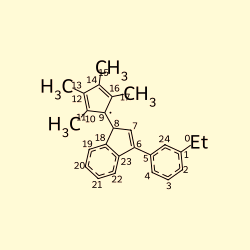 CCc1cccc(C2=CC([C]3C(C)=C(C)C(C)=C3C)c3ccccc32)c1